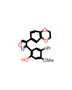 CCCc1cc(-c2nocc2-c2ccc3c(c2)OCCO3)c(O)cc1OC